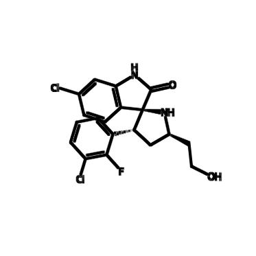 O=C1Nc2cc(Cl)ccc2[C@]12N[C@@H](CCO)C[C@@H]2c1cccc(Cl)c1F